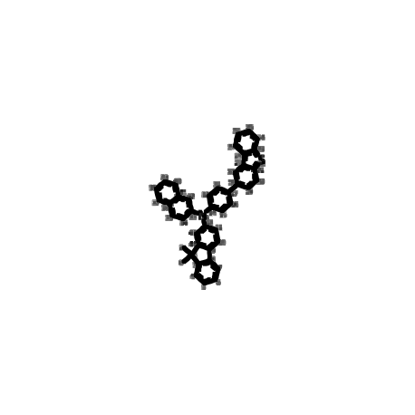 CC1(C)c2ccccc2-c2ccc(N(c3ccc(-c4ccc5sc6ccccc6c5c4)cc3)c3ccc4ccccc4c3)cc21